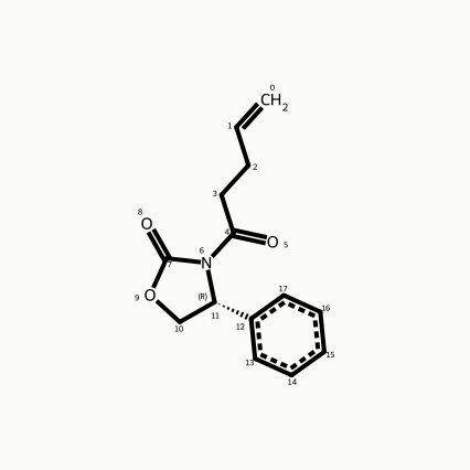 C=CCCC(=O)N1C(=O)OC[C@H]1c1ccccc1